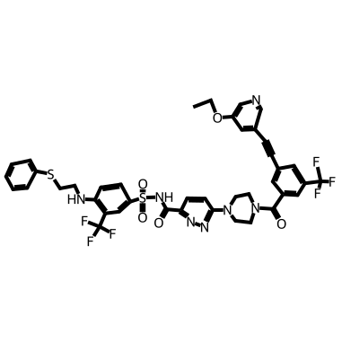 CCOc1cncc(C#Cc2cc(C(=O)N3CCN(c4ccc(C(=O)NS(=O)(=O)c5ccc(NCCSc6ccccc6)c(C(F)(F)F)c5)nn4)CC3)cc(C(F)(F)F)c2)c1